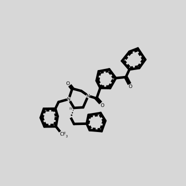 O=C(c1ccccc1)c1cccc(C(=O)N2CC(=O)N(Cc3cccc(C(F)(F)F)c3)[C@@H](CCc3ccccc3)C2)c1